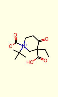 CCC1(C(=O)O)C[N+](C(=O)[O-])(C(C)(C)C)CCC1=O